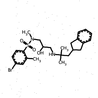 Cc1cc(Br)ccc1S(=O)(=O)N(C)CC(O)CNC(C)(C)CC1Cc2ccccc2C1